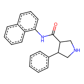 O=C(Nc1cccc2ccccc12)C1CNCC1c1ccccc1